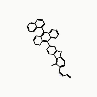 C=C/C=C\c1ccc2oc3cc(-c4c5ccccc5c(-c5cccc6ccccc56)c5ccccc45)ccc3c2c1C